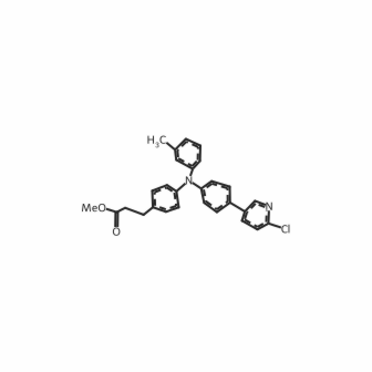 COC(=O)CCc1ccc(N(c2ccc(-c3ccc(Cl)nc3)cc2)c2cccc(C)c2)cc1